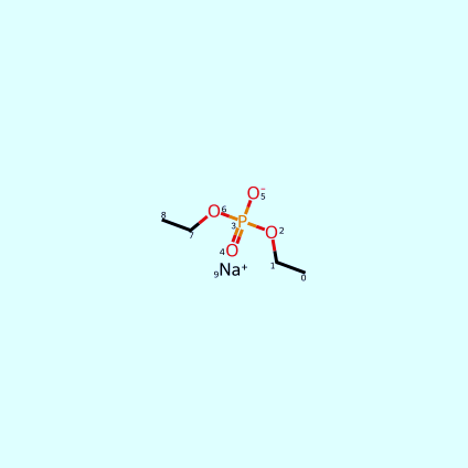 CCOP(=O)([O-])OCC.[Na+]